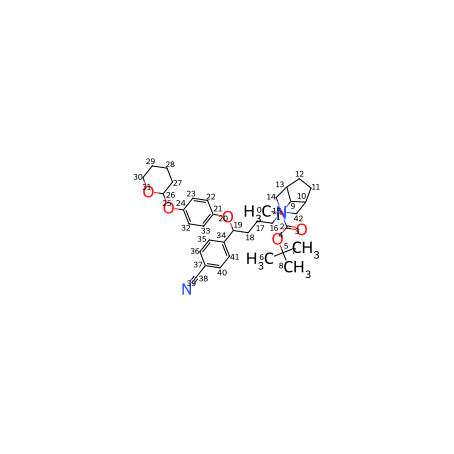 CN(C(=O)OC(C)(C)C)C1C2CCC1CN(CCCC(Oc1ccc(OC3CCCCO3)cc1)c1ccc(C#N)cc1)C2